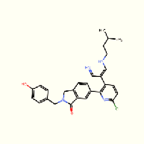 CC(C)CCN/C=C(\C=N)c1ccc(Cl)nc1-c1ccc2c(c1)C(=O)N(Cc1ccc(O)cc1)C2